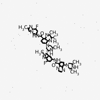 Cc1cn2cc(NC(=O)c3ccc(N4C[C@@H](c5c6cc(NC(=O)c7ccc(N8C[C@@H](C)N[C@@H](C)C8)c8nccnc78)cc(F)c6nn5C)N[C@@H](C)C4)c4nc(C)c(C)nc34)cc(F)c2n1